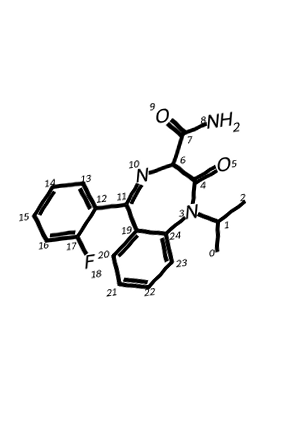 CC(C)N1C(=O)C(C(N)=O)N=C(c2ccccc2F)c2ccccc21